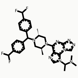 CC(N(C)C)n1cnc2c(N3C[C@@H](C)N(C(c4ccc(C(F)F)cc4)c4ccc(C(F)F)cc4)C[C@@H]3C)nc3nncn3c21